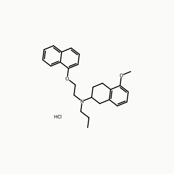 CCCN(CCOc1cccc2ccccc12)C1CCc2c(cccc2OC)C1.Cl